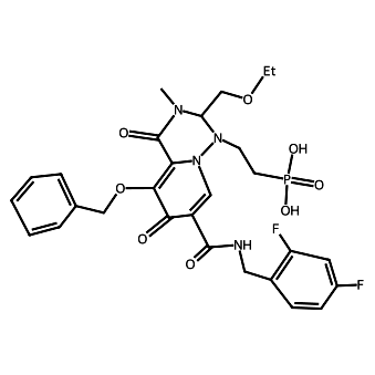 CCOCC1N(C)C(=O)c2c(OCc3ccccc3)c(=O)c(C(=O)NCc3ccc(F)cc3F)cn2N1CCP(=O)(O)O